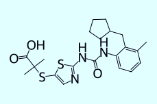 Cc1cccc(NC(=O)Nc2ncc(SC(C)(C)C(=O)O)s2)c1CC1CCCC1